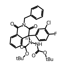 CC(C)(C)OC(=O)NN(C(=O)OC(C)(C)C)[C@]1(c2ccc(F)c(Cl)c2)C(=O)N(Cc2ccccc2)C(=O)c2ccccc21